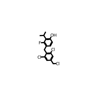 CC(C)c1c(O)ccc(Cc2c(Cl)cc(CCl)cc2Cl)c1F